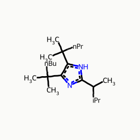 CCCCC(C)(C)c1nc(C(C)C(C)C)[nH]c1C(C)(C)CCC